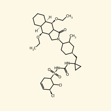 CCO[C@@H]1C2CN(C3CC[C@H](CC4(NC(=O)NS(=O)(=O)C5CC=C[C@H](Cl)C5Cl)CC4)CC3C)C(=O)C2[C@H](OCC)[C@@H]2CCCC[C@@H]21